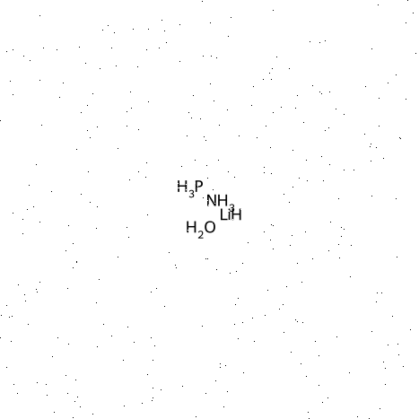 N.O.P.[LiH]